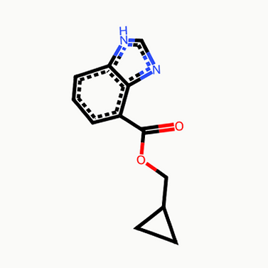 O=C(OCC1CC1)c1cccc2[nH]cnc12